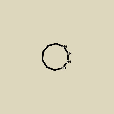 C1CCCNNNNCC1